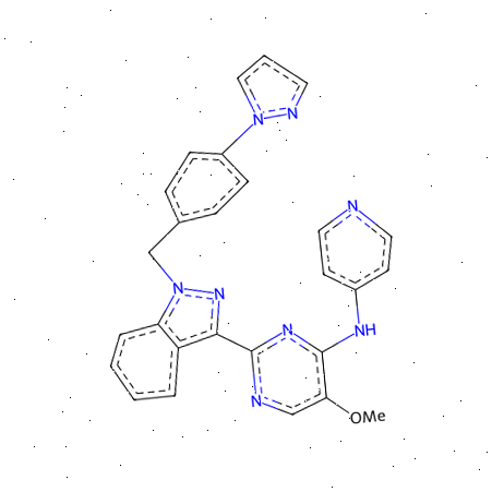 COc1cnc(-c2nn(Cc3ccc(-n4cccn4)cc3)c3ccccc23)nc1Nc1ccncc1